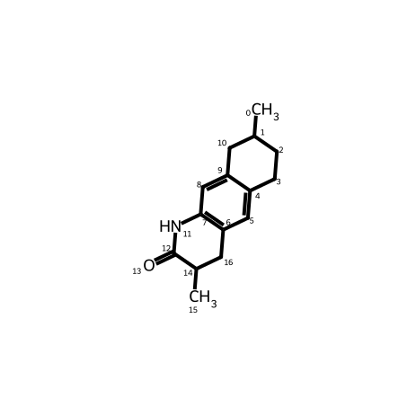 CC1CCc2cc3c(cc2C1)NC(=O)C(C)C3